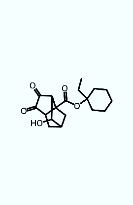 CCC1(OC(=O)C23CC4CC2C(=O)C(=O)C3C4O)CCCCC1